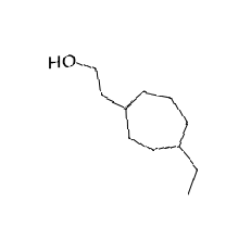 CCC1CCCC(CCO)CC1